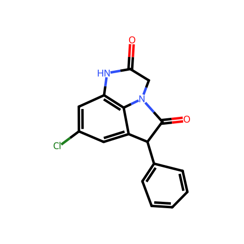 O=C1CN2C(=O)C(c3ccccc3)c3cc(Cl)cc(c32)N1